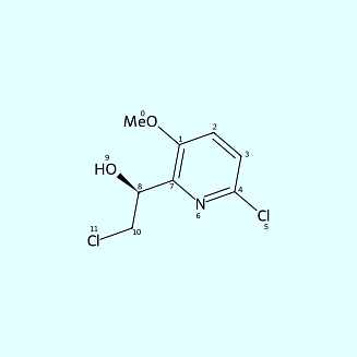 COc1ccc(Cl)nc1[C@H](O)CCl